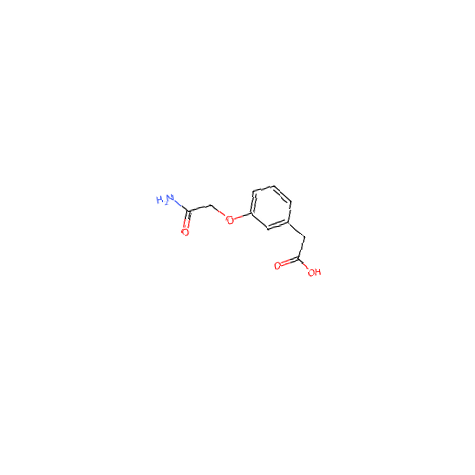 NC(=O)COc1cccc(CC(=O)O)c1